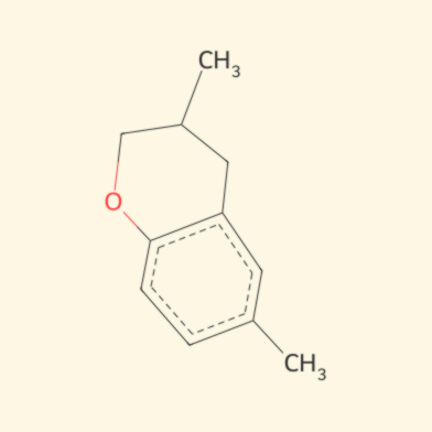 Cc1ccc2c(c1)CC(C)CO2